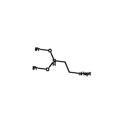 CCCCCCCCC[SiH](OC(C)C)OC(C)C